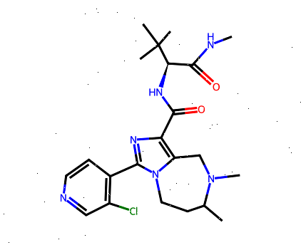 CNC(=O)[C@@H](NC(=O)c1nc(-c2ccncc2Cl)n2c1CN(C)C(C)CC2)C(C)(C)C